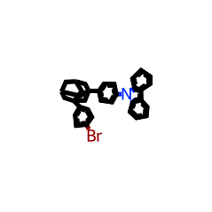 Brc1ccc(C23CC4CC(C2)CC(c2ccc(-n5c6ccccc6c6ccccc65)cc2)(C4)C3)cc1